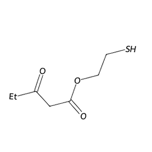 CCC(=O)CC(=O)OCCS